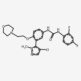 Cn1ncc(Cl)c1-c1cc(NC(=O)Nc2ccc(F)cc2F)ccc1OCCN1CCOCC1